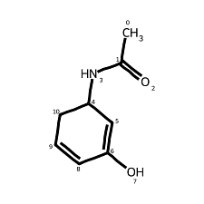 CC(=O)NC1C=C(O)C=CC1